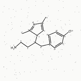 Cc1cn(C(CCN)Cc2ccc(Cl)cc2)c(C)n1